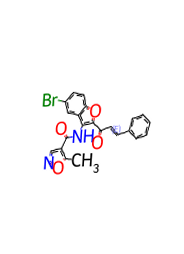 Cc1oncc1C(=O)Nc1c(C(=O)/C=C/c2ccccc2)oc2ccc(Br)cc12